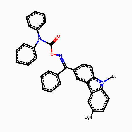 CCn1c2ccc(/C(=N/OC(=O)N(c3ccccc3)c3ccccc3)c3ccccc3)cc2c2cc([N+](=O)[O-])ccc21